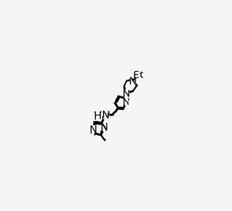 CCN1CCN(c2ccc(CNc3cncc(C)n3)cn2)CC1